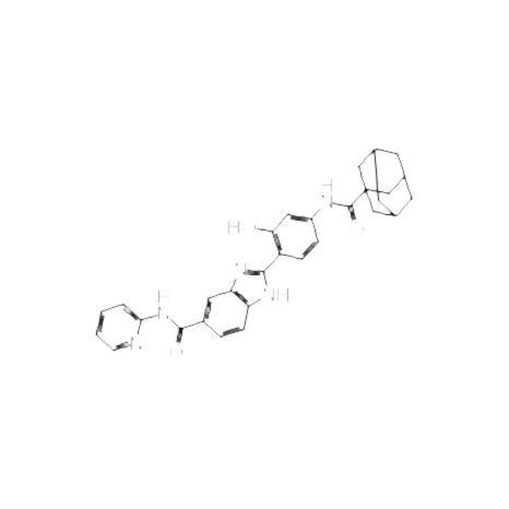 O=C(Nc1ccccn1)c1ccc2[nH]c(-c3ccc(NC(=O)C45CC6CC(CC(C6)C4)C5)cc3O)nc2c1